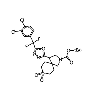 CC(C)(C)OC(=O)N1CC(c2nnc(C(F)(F)c3ccc(Cl)c(Cl)c3)o2)C2(CCS(=O)(=O)CC2)C1